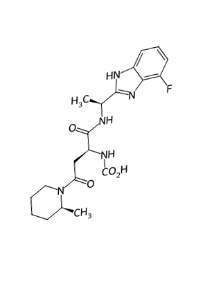 C[C@H](NC(=O)[C@H](CC(=O)N1CCCC[C@@H]1C)NC(=O)O)c1nc2c(F)cccc2[nH]1